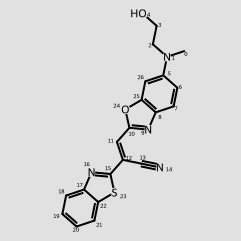 CN(CCO)c1ccc2nc(/C=C(\C#N)c3nc4ccccc4s3)oc2c1